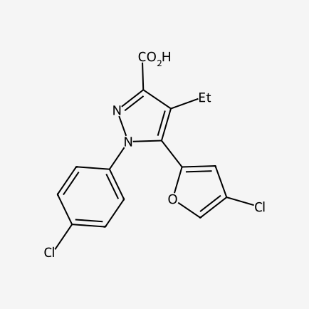 CCc1c(C(=O)O)nn(-c2ccc(Cl)cc2)c1-c1cc(Cl)co1